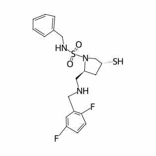 O=S(=O)(NCc1ccccc1)N1C[C@H](S)C[C@H]1CNCc1cc(F)ccc1F